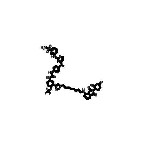 CN(c1ccc(NC(=O)Nc2ccc(OC(F)(F)F)c(-c3cn(CCCCCCCCNc4cccc5c4C(=O)N(C4CCC(=O)NC4=O)C5=O)nn3)c2)cc1)c1ccnc(Nc2cccc(S(N)(=O)=O)c2)n1